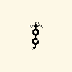 CC(C)(C)c1ccc(-c2ccc(C=O)cn2)cc1